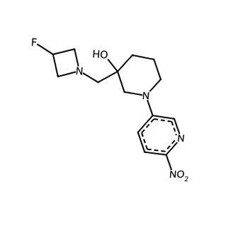 O=[N+]([O-])c1ccc(N2CCCC(O)(CN3CC(F)C3)C2)cn1